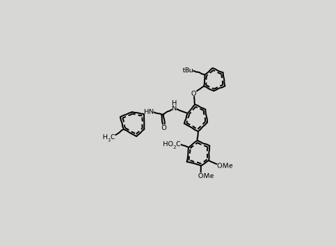 COc1cc(C(=O)O)c(-c2ccc(Oc3ccccc3C(C)(C)C)c(NC(=O)Nc3ccc(C)cc3)c2)cc1OC